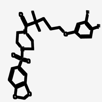 CC(C)(CCCOc1ccc(F)c(F)c1)C(=O)N1CCN(S(=O)(=O)c2ccc3c(c2)OCO3)CC1